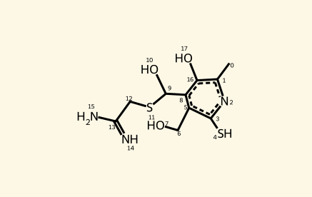 Cc1nc(S)c(CO)c(C(O)SCC(=N)N)c1O